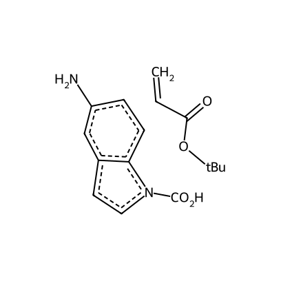 C=CC(=O)OC(C)(C)C.Nc1ccc2c(ccn2C(=O)O)c1